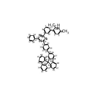 CC1=CC=C(c2cccc(-c3nc(-c4ccccc4)nc(-c4ccc(-c5ccc6c(c5)C(c5ccccc5)(c5ccccc5)c5ccccc5-6)cc4)n3)c2)C(C)N1